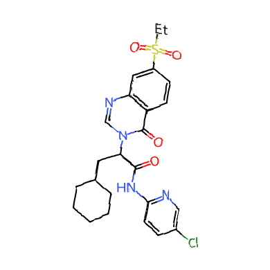 CCS(=O)(=O)c1ccc2c(=O)n(C(CC3CCCCC3)C(=O)Nc3ccc(Cl)cn3)cnc2c1